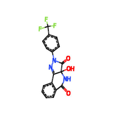 O=C1NC2(O)C(=O)N(c3ccc(C(F)(F)F)cc3)N=C2c2ccccc21